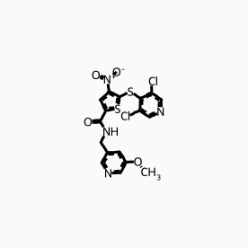 COc1cncc(CNC(=O)c2cc([N+](=O)[O-])c(Sc3c(Cl)cncc3Cl)s2)c1